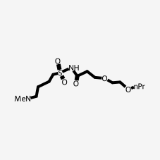 CCCOCCOCCC(=O)NS(=O)(=O)CCCCNC